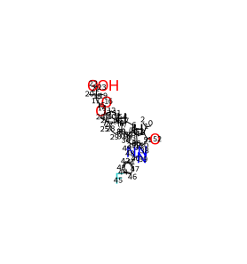 CC(C)C1=C2[C@H]3CC[C@@H]4[C@@]5(C)CC[C@H](OC(=O)CC(C)(C)C(=O)O)C(C)(C)C5CC[C@@]4(C)[C@]3(C)CC[C@@]2(c2nnc(-c3ccc(F)cc3)n2C)CC1=O